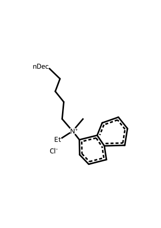 CCCCCCCCCCCCCC[N+](C)(CC)c1cccc2ccccc12.[Cl-]